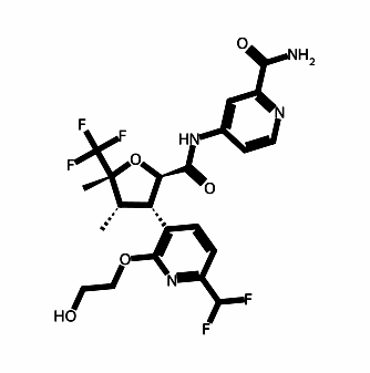 C[C@H]1[C@@H](c2ccc(C(F)F)nc2OCCO)[C@H](C(=O)Nc2ccnc(C(N)=O)c2)O[C@@]1(C)C(F)(F)F